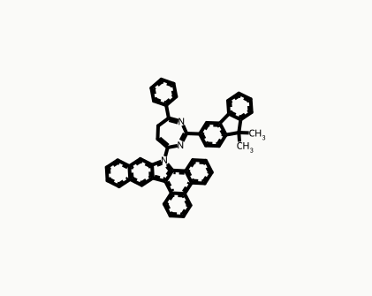 CC1(C)c2ccccc2-c2cc(C3=NC(n4c5cc6ccccc6cc5c5c6ccccc6c6ccccc6c54)=CCC(c4ccccc4)=N3)ccc21